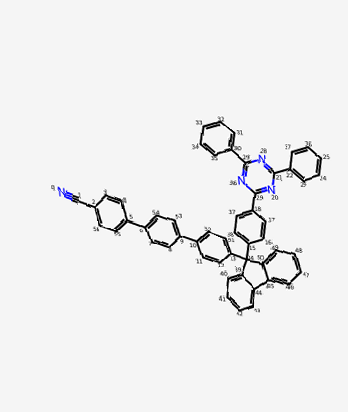 N#Cc1ccc(-c2ccc(-c3ccc(C4(c5ccc(-c6nc(-c7ccccc7)nc(-c7ccccc7)n6)cc5)c5ccccc5-c5ccccc54)cc3)cc2)cc1